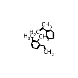 C=C(C)c1ccccc1.C=Cc1cccc(C)c1C